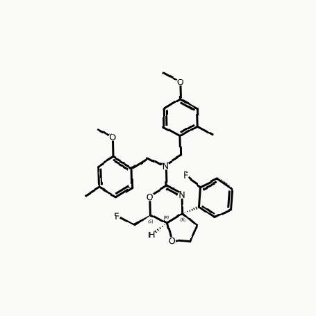 COc1ccc(CN(Cc2ccc(C)cc2OC)C2=N[C@@]3(c4ccccc4F)CCO[C@H]3[C@@H](CF)O2)c(C)c1